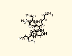 CC(C)CC(N)C(=O)NC(CO)C(=O)NC(CCCCN)C(=O)NC(CC(C)C)C(N)=O